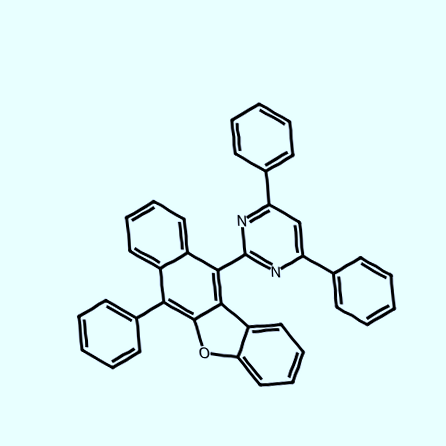 c1ccc(-c2cc(-c3ccccc3)nc(-c3c4ccccc4c(-c4ccccc4)c4oc5ccccc5c34)n2)cc1